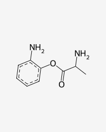 CC(N)C(=O)Oc1ccccc1N